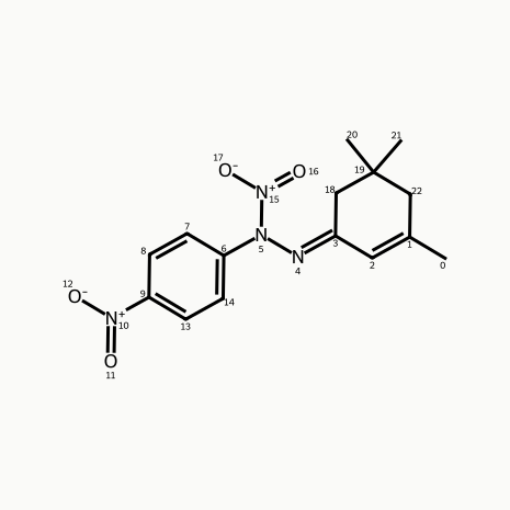 CC1=CC(=NN(c2ccc([N+](=O)[O-])cc2)[N+](=O)[O-])CC(C)(C)C1